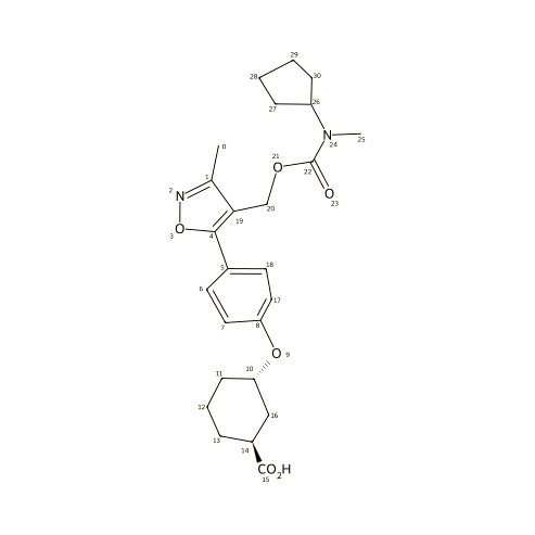 Cc1noc(-c2ccc(O[C@H]3CCC[C@H](C(=O)O)C3)cc2)c1COC(=O)N(C)C1CCCC1